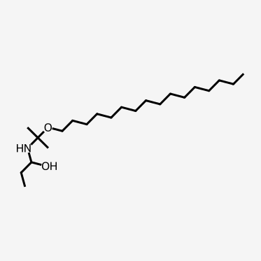 CCCCCCCCCCCCCCCCOC(C)(C)NC(O)CC